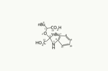 CCCCC(OC(CCCC)(Nc1ccccc1)C(=O)O)C(=O)O